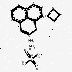 C1=Cc2cccc3cccc(c23)C1.C1CCC1.N.N.O=S(=O)(O)O